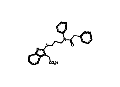 O=C(O)Cn1c(SCCCN(C(=O)Cc2ccccc2)c2ccccc2)nc2ccccc21